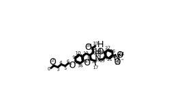 CC(=O)CCCCOc1ccc(CC(C(=O)[C@H](C)NCc2cc([N+](=O)[O-])ccc2O)[C@@H](C)C(C)=O)cc1